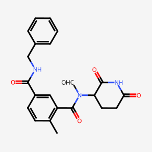 Cc1ccc(C(=O)NCc2ccccc2)cc1C(=O)N(C=O)C1CCC(=O)NC1=O